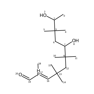 CC(O)C(C)(C)CC(O)C(C)(C)CC(C)(C)/C=[PH](\C)C=O